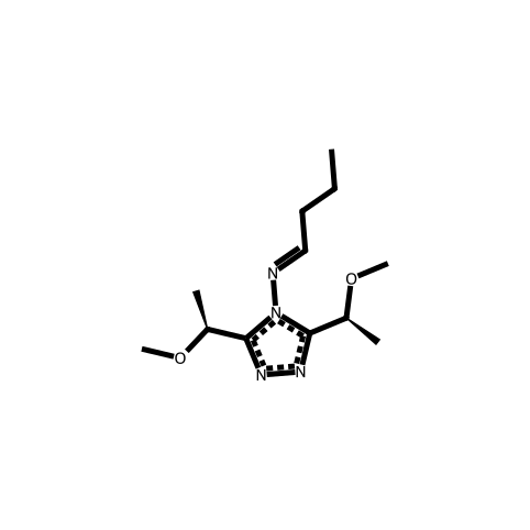 CCCC=Nn1c([C@H](C)OC)nnc1[C@H](C)OC